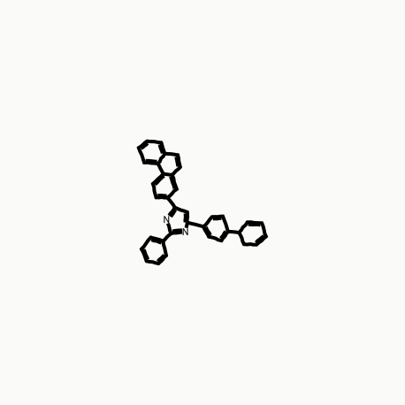 C1=CCC(c2ccc(-c3cc(-c4ccc5c(ccc6ccccc65)c4)nc(-c4ccccc4)n3)cc2)C=C1